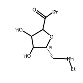 CCNC[C@H]1OC(C(=O)C(C)C)C(O)C1O